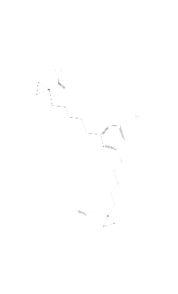 O=COC1(CCCCCc2cc(O)cc(CCCCCC3(C(=O)O)CC3)c2O)CC1